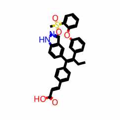 CCC(=C(c1ccc(C=CC(=O)O)cc1)c1ccc2[nH]ncc2c1)c1cccc(Oc2ccccc2S(C)(=O)=O)c1